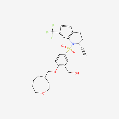 C#C[C@H]1CCc2ccc(C(F)(F)F)cc2N1S(=O)(=O)c1ccc(OCC2CCCCOCC2)c(CO)c1